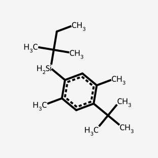 CCC(C)(C)[SiH2]c1cc(C)c(C(C)(C)C)cc1C